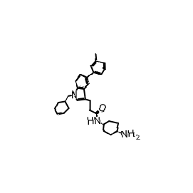 Cc1cccc(-c2ccc3c(c2)c(CCC(=O)N[C@H]2CC[C@H](N)CC2)cn3CC2CCCCC2)c1